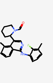 Cc1cccc(Nc2ncc(C3CCCCN3C=O)c3c(C)cccc23)c1F